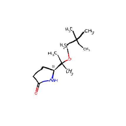 CC(C)(C)[SiH2]OC(C)(C)[C@@H]1CCC(=O)N1